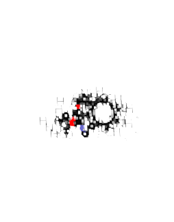 CNC(=O)c1ccccc1Sc1ccc2c(/C=C/c3ccccn3)nn(C(=O)N(CCNC(=O)CC[C@H](N)C(=O)O)CCC(=O)N[C@H](C(=O)N[C@@H](CCN)C(=O)N[C@H]3CCNC(=O)[C@H]([C@@H](C)O)NC(=O)[C@H](CCN)NC(=O)[C@H](CCN)NC(=O)[C@H](CC(C)C)NC(O)[C@@H](Cc4ccccc4)NC(=O)[C@H](CCN)NC3=O)[C@@H](C)O)c2c1